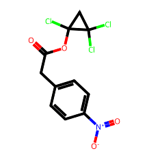 O=C(Cc1ccc([N+](=O)[O-])cc1)OC1(Cl)CC1(Cl)Cl